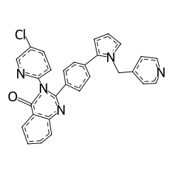 O=c1c2ccccc2nc(-c2ccc(-c3cccn3Cc3ccncc3)cc2)n1-c1ccc(Cl)cn1